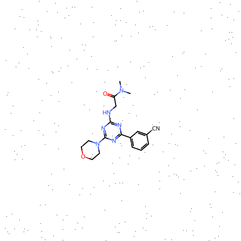 CN(C)C(=O)CNc1nc(-c2cccc(C#N)c2)nc(N2CCOCC2)n1